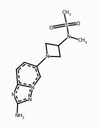 CN(C1CN(c2ccc3nc(N)nn3c2)C1)S(C)(=O)=O